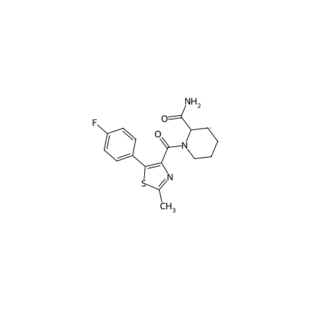 Cc1nc(C(=O)N2CCC[CH]C2C(N)=O)c(-c2ccc(F)cc2)s1